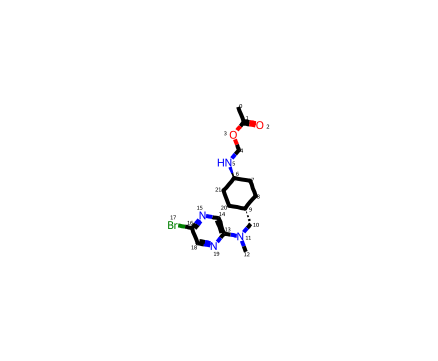 CC(=O)OCN[C@H]1CC[C@H](CN(C)c2cnc(Br)cn2)CC1